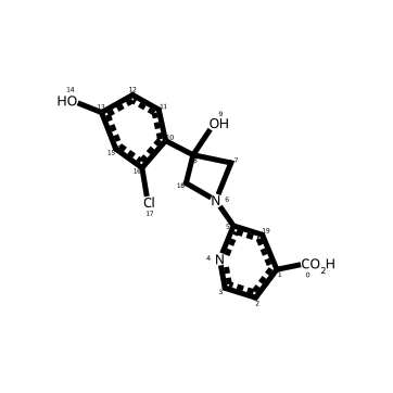 O=C(O)c1ccnc(N2CC(O)(c3ccc(O)cc3Cl)C2)c1